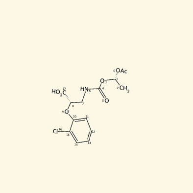 CC(=O)O[C@H](C)OC(=O)NC[C@H](Oc1ccccc1Cl)C(=O)O